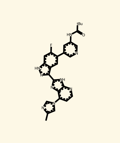 Cc1cn(-c2ccnc3[nH]c(-c4n[nH]c5cc(F)c(-c6cncc(NC(=O)C(C)(C)C)c6)cc45)nc23)cn1